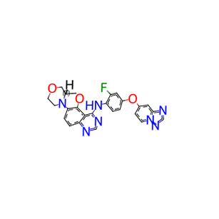 Fc1cc(Oc2ccn3ncnc3c2)ccc1Nc1ncnc2ccc3c(c12)OC[C@H]1COCCN31